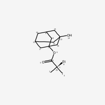 CC[C@](C)(I)C(=O)OC12CC3CC(CC(O)(C3)C1)C2